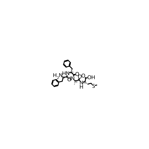 CSCC[C@H](NC(=O)[C@H](C)NC(=O)[C@H](Cc1ccccc1)NC(=O)[C@@H](N)Cc1ccccc1)C(=O)O